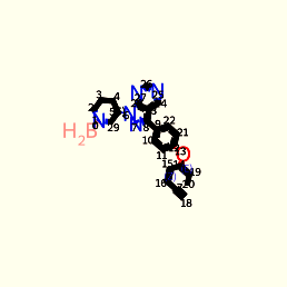 BN1CCC[C@H](n2nc(-c3ccc(OC(/C=C\C#C)=C/C)cc3)c3cncnc32)C1